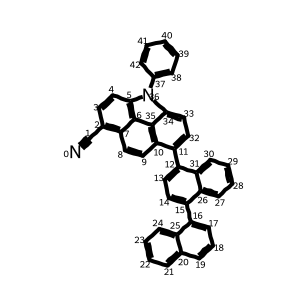 N#Cc1ccc2c3c1ccc1c(-c4ccc(-c5cccc6ccccc56)c5ccccc45)ccc(c13)n2-c1ccccc1